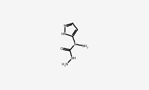 NNC(=O)N(N)c1ccn[nH]1